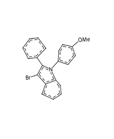 COc1ccc(-n2c(-c3ccccc3)c(Br)c3ccccc32)cc1